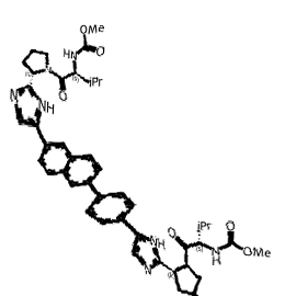 C=C1CC(C(=O)[C@@H](NC(=O)OC)C(C)C)[C@H](c2ncc(-c3ccc(-c4ccc5cc(-c6cnc([C@@H]7CCCN7C(=O)[C@@H](NC(=O)OC)C(C)C)[nH]6)ccc5c4)cc3)[nH]2)C1